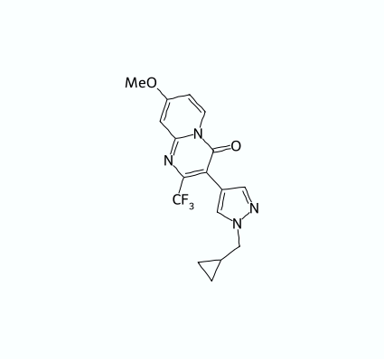 COc1ccn2c(=O)c(-c3cnn(CC4CC4)c3)c(C(F)(F)F)nc2c1